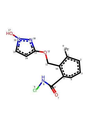 CC(C)c1cccc(C(=O)NCl)c1COc1ccn(O)n1